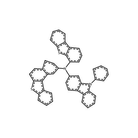 c1ccc(-n2c3ccccc3c3ccc(N(c4ccc5ccc6sc7ccccc7c6c5c4)c4cccc5c4sc4ccccc45)cc32)cc1